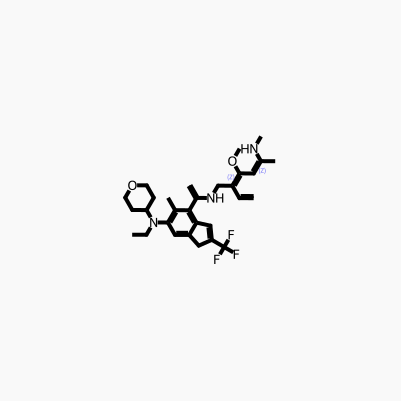 C=C/C(CNC(=C)c1c(C)c(N(CC)C2CCOCC2)cc2c1C=C(C(F)(F)F)C2)=C(\C=C(\C)NC)OC